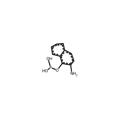 Nc1ccc2ccccc2c1OP(O)O